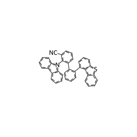 N#Cc1cccc(-c2ccccc2-c2cccc3sc4ccccc4c23)c1-n1c2ccccc2c2ccccc21